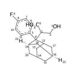 O=C(O)C(CO)C1(c2ccc(F)cc2)C2CC3C[C@H](C2)C[C@H]1C3